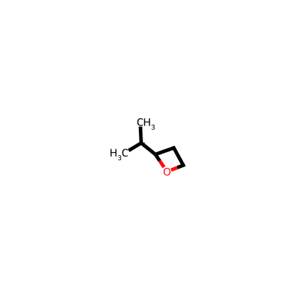 C[C](C)C1CCO1